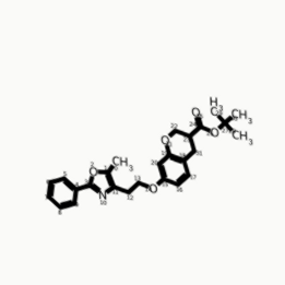 Cc1oc(-c2ccccc2)nc1CCOc1ccc2c(c1)OCC(C(=O)OC(C)(C)C)C2